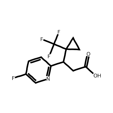 O=C(O)CC(c1ccc(F)cn1)C1(C(F)(F)F)CC1